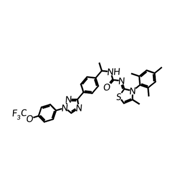 Cc1cc(C)c(-n2c(C)cs/c2=N\C(=O)NC(C)c2ccc(-c3ncn(-c4ccc(OC(F)(F)F)cc4)n3)cc2)c(C)c1